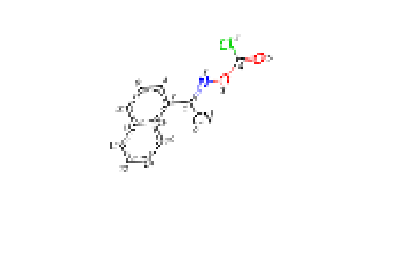 N#C/C(=N\OC(=O)Cl)c1cccc2ccccc12